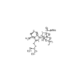 CCOC(CCc1cn([C@@H]2C[C@H](C(=O)NC)[C@H]3OC(C)(C)O[C@H]32)c2ncnc(N)c12)OCC